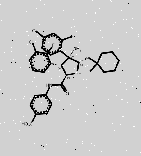 CC1(C[C@@H]2N[C@@H](C(=O)Nc3ccc(C(=O)O)cc3)[C@H](c3cccc(Cl)c3F)[C@@]2(N)c2ccc(Cl)cc2F)CCCCC1